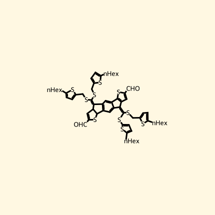 CCCCCCc1ccc(CSC(SCc2ccc(CCCCCC)s2)=C2c3cc4c(cc3C3SC(C=O)=CC23)/C(=C(/SCc2ccc(CCCCCC)s2)Sc2ccc(CCCCCC)s2)c2cc(C=O)sc2-4)s1